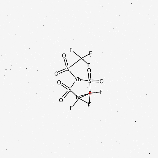 O=[S](=O)([Yb]([S](=O)(=O)C(F)(F)F)[S](=O)(=O)C(F)(F)F)C(F)(F)F